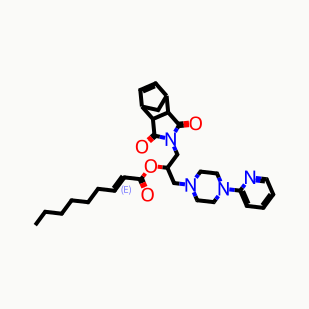 CCCCCC/C=C/C(=O)OC(CN1CCN(c2ccccn2)CC1)CN1C(=O)C2C3C=CC(C3)C2C1=O